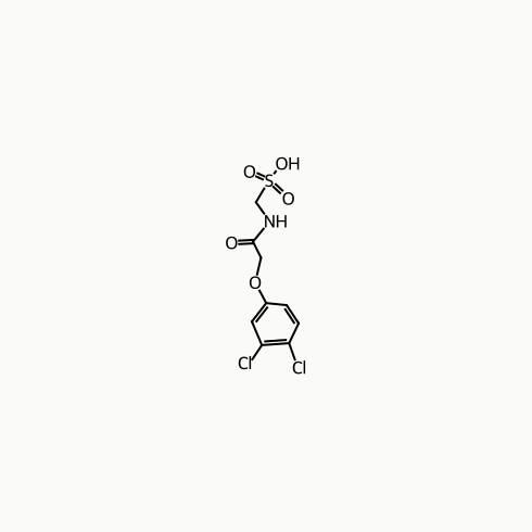 O=C(COc1ccc(Cl)c(Cl)c1)NCS(=O)(=O)O